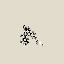 C=CCCC1CCC(C/C=N\C(=N/C)C2C=C(F)C(c3cc(F)c(CF)c(F)c3)=CC2)CC1